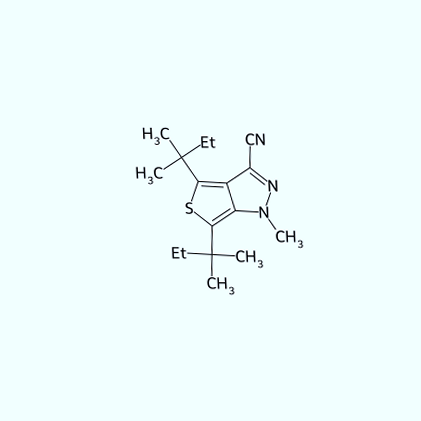 CCC(C)(C)c1sc(C(C)(C)CC)c2c1c(C#N)nn2C